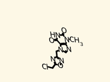 Cn1c(=O)[nH]c(=O)c2c1ncn2Cc1noc(CCl)n1